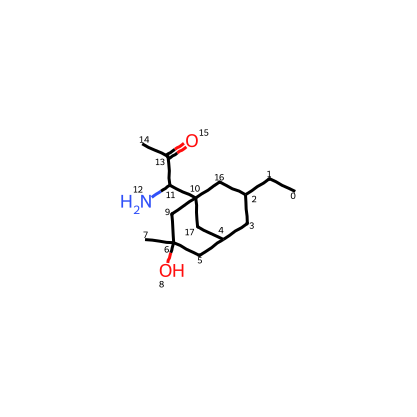 CCC1CC2CC(C)(O)CC(C(N)C(C)=O)(C1)C2